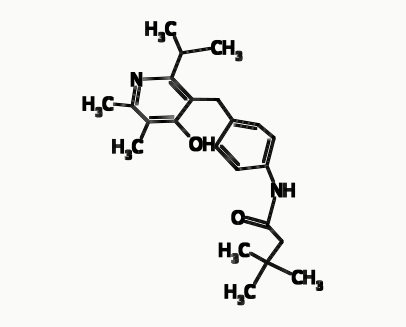 Cc1nc(C(C)C)c(Cc2ccc(NC(=O)CC(C)(C)C)cc2)c(O)c1C